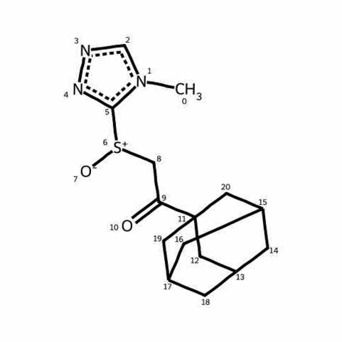 Cn1cnnc1[S+]([O-])CC(=O)C12CC3CC(CC(C3)C1)C2